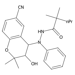 CCCC(C)(C)C(=O)NN(c1ccccc1)C1c2cc(C#N)ccc2OC(C)(C)C1O